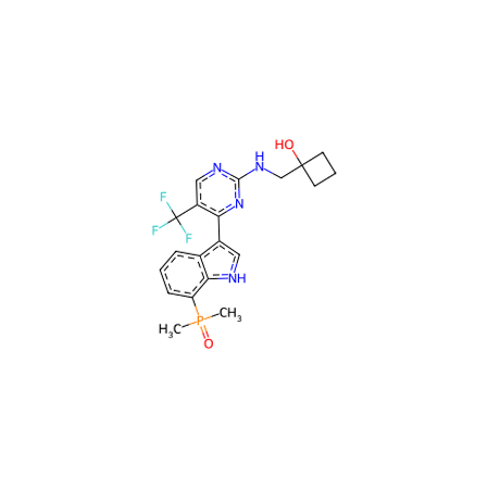 CP(C)(=O)c1cccc2c(-c3nc(NCC4(O)CCC4)ncc3C(F)(F)F)c[nH]c12